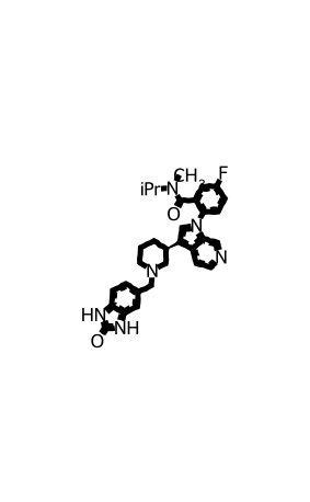 CC(C)N(C)C(=O)c1cc(F)ccc1-n1cc([C@@H]2CCCN(Cc3ccc4[nH]c(=O)[nH]c4c3)C2)c2ccncc21